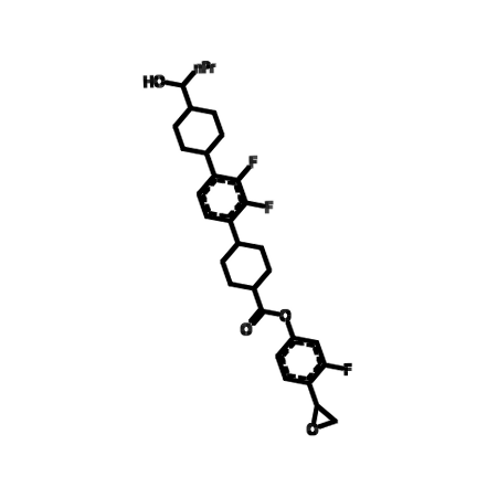 CCCC(O)C1CCC(c2ccc(C3CCC(C(=O)Oc4ccc(C5CO5)c(F)c4)CC3)c(F)c2F)CC1